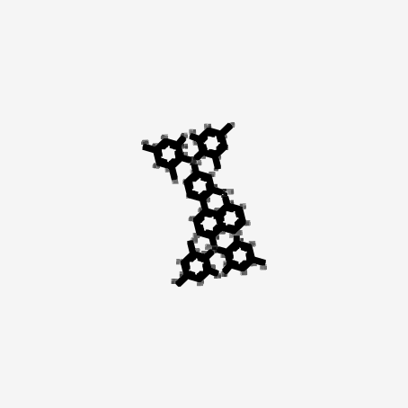 Cc1cc(C)c(B(c2ccc3c(c2)Sc2cccc4c(B(c5c(C)cc(C)cc5C)c5c(C)cc(C)cc5C)ccc-3c24)c2c(C)cc(C)cc2C)c(C)c1